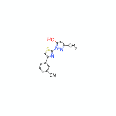 Cc1cc(O)n(-c2nc(-c3cccc(C#N)c3)cs2)n1